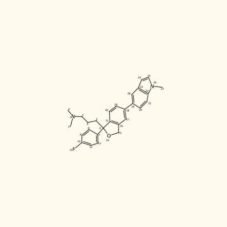 CN(C)CCCC1(c2ccc(F)cc2)OCc2cc(-c3ccc4c(ccn4C)c3)ccc21